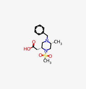 C[C@@H]1CN(S(C)(=O)=O)[C@H](CC(=O)O)CN1Cc1ccccc1